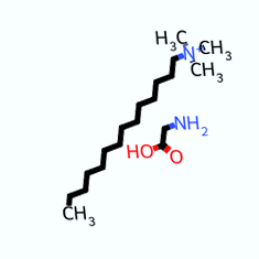 CCCCCCCCCCCCCC[N+](C)(C)C.NCC(=O)O